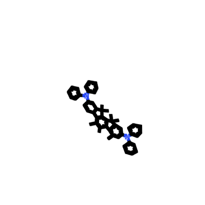 Cc1cc(N(c2ccccc2)c2ccccc2)cc2c1-c1c(C)c(C)c3c(c1C2(C)C)C(C)(C)C1C=C(N(c2ccccc2)c2ccccc2)C=CC31